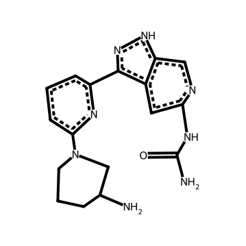 NC(=O)Nc1cc2c(-c3cccc(N4CCCC(N)C4)n3)n[nH]c2cn1